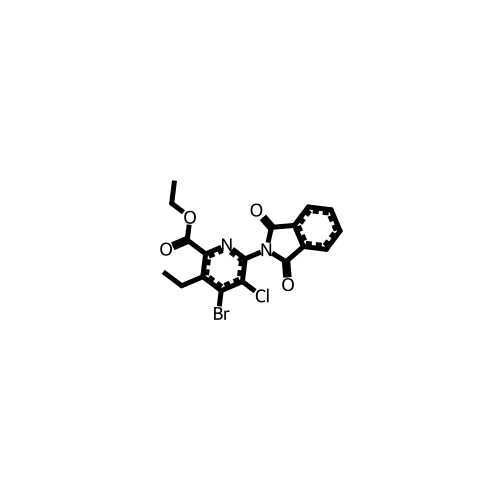 CCOC(=O)c1nc(N2C(=O)c3ccccc3C2=O)c(Cl)c(Br)c1CC